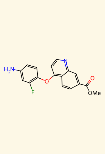 COC(=O)c1ccc2c(Oc3ccc(N)cc3F)ccnc2c1